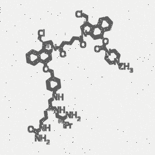 CC(C)[C@@H](N)CN[C@H](CCCNC(N)=O)CNc1ccc(COc2cc3c(c4ccccc24)[C@H](CCl)CN3C(=O)CCCC(=O)N2C[C@@H](CCl)c3c2cc(OC(=O)N2CCN(C)CC2)c2ccccc32)cc1